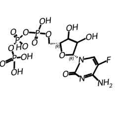 Nc1nc(=O)n([C@@H]2O[C@H](COP(=O)(O)OP(=O)(O)OP(=O)(O)O)C(O)C2O)cc1F